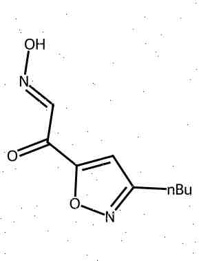 CCCCc1cc(C(=O)C=NO)on1